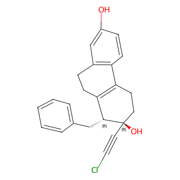 Oc1ccc2c(c1)CCC1=C2CC[C@](O)(C#CCl)[C@@H]1Cc1ccccc1